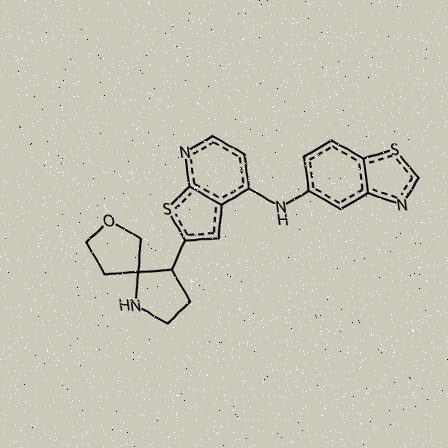 c1cc(Nc2ccc3scnc3c2)c2cc(C3CCNC34CCOC4)sc2n1